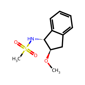 CO[C@@H]1Cc2ccccc2[C@H]1NS(C)(=O)=O